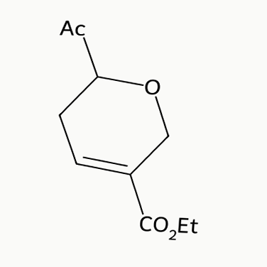 CCOC(=O)C1=CCC(C(C)=O)OC1